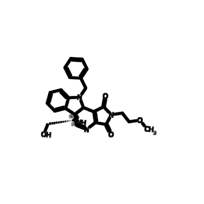 COCCN1C(=O)C2=C(C1=O)C1N(Cc3ccccc3)c3ccccc3[C@@]13C[C@@H](CO)NC3=N2